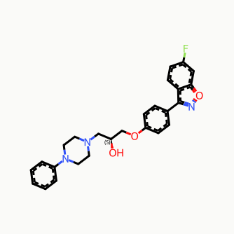 O[C@H](COc1ccc(-c2noc3cc(F)ccc23)cc1)CN1CCN(c2ccccc2)CC1